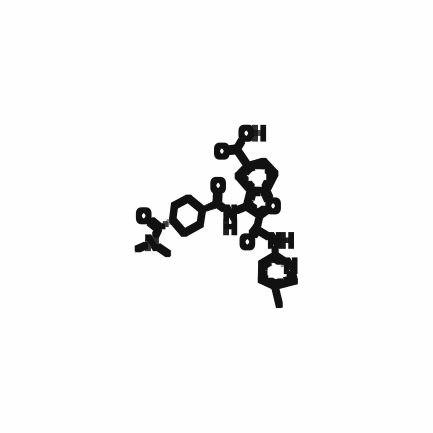 Cc1ccc(NC(=O)c2oc3ccc(C(=O)O)cc3c2NC(=O)[C@H]2CC[C@H](C(=O)N(C)C)CC2)nc1